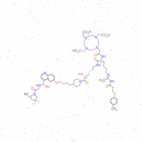 C/C(=N\CCCC[C@H](NC(=O)CN1CCN(CC(=O)O)CCN(CC(=O)O)CCN(CC(=O)O)CC1)C(=O)NCCSC[C@@H](O)C(=O)N1CCC(CCCCOc2ccc3nccc(C(O)NCC(=O)N4CC(F)(F)C[C@@H]4C#N)c3c2)CC1)NC(=O)CCCc1ccc(C)cc1